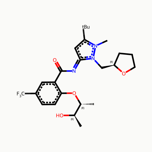 C[C@@H](O)[C@@H](C)Oc1ccc(C(F)(F)F)cc1C(=O)N=c1cc(C(C)(C)C)n(C)n1C[C@H]1CCCO1